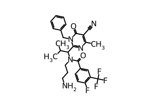 Cc1nc(C(C(C)C)N(CCCN)C(=O)c2ccc(F)c(C(F)(F)F)c2)n(Cc2ccccc2)c(=O)c1C#N